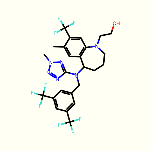 Cc1cc2c(cc1C(F)(F)F)N(CCO)CCCC2N(Cc1cc(C(F)(F)F)cc(C(F)(F)F)c1)c1nnn(C)n1